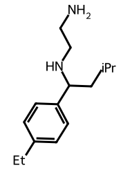 CCc1ccc(C(CC(C)C)NCCN)cc1